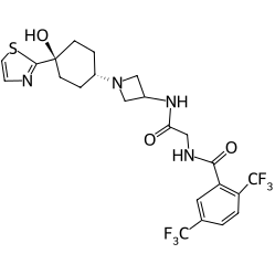 O=C(CNC(=O)c1cc(C(F)(F)F)ccc1C(F)(F)F)NC1CN([C@H]2CC[C@@](O)(c3nccs3)CC2)C1